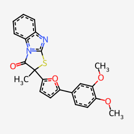 COc1ccc(-c2ccc(C3(C)Sc4nc5ccccc5n4C3=O)o2)cc1OC